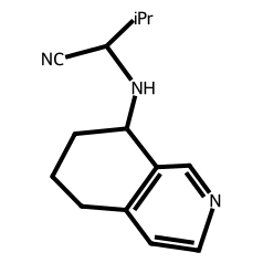 CC(C)C(C#N)NC1CCCc2ccncc21